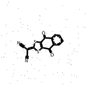 N#CC(C#N)=C1SC2=C(S1)C(=O)c1ccccc1C2=O